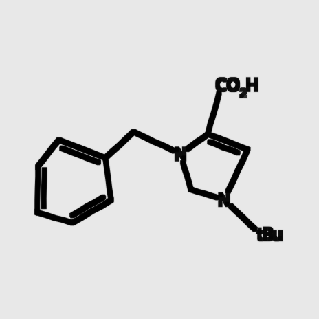 CC(C)(C)N1C=C(C(=O)O)N(Cc2ccccc2)C1